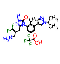 Cc1c(-c2cnn(C(C)C)c2)cccc1-n1c(CC(CN)=C(F)F)n[nH]c1=O.O=C(O)C(F)(F)F